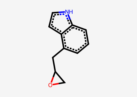 c1cc(CC2CO2)c2cc[nH]c2c1